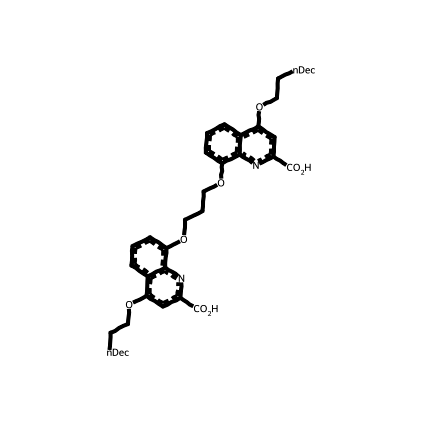 CCCCCCCCCCCCOc1cc(C(=O)O)nc2c(OCCCOc3cccc4c(OCCCCCCCCCCCC)cc(C(=O)O)nc34)cccc12